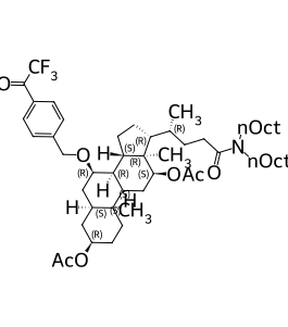 CCCCCCCCN(CCCCCCCC)C(=O)CC[C@@H](C)[C@H]1CC[C@H]2[C@@H]3[C@H](OCc4ccc(C(=O)C(F)(F)F)cc4)C[C@@H]4C[C@H](OC(C)=O)CC[C@]4(C)[C@H]3C[C@H](OC(C)=O)[C@]12C